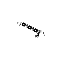 CC(CCO)Nc1ccc(N=Nc2ccc(N=Nc3ccc(C(F)(F)F)cc3)cc2)cc1